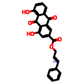 O=C(OC/C=C/c1ccccc1)c1cc(O)c2c(c1)C(=O)c1cccc(O)c1C2=O